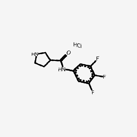 Cl.O=C(Nc1cc(F)c(F)c(F)c1)C1CCNC1